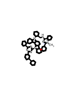 CN/C(=N\C(NCc1ccccc1-n1c2ccccc2c2c1ccc1c3ccccc3n(-c3nc(-c4ccccc4)nc(-c4cccc(-c5ccccc5)c4)n3)c12)c1ccccc1)c1ccccc1